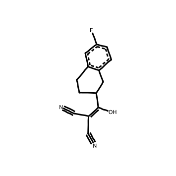 N#CC(C#N)=C(O)C1CCc2cc(F)ccc2C1